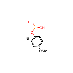 COc1ccc(OP(O)O)cc1.[Ni]